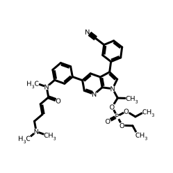 CCOP(=O)(OCC)OC(C)n1cc(-c2cccc(C#N)c2)c2cc(-c3cccc(N(C)C(=O)C=CCN(C)C)c3)cnc21